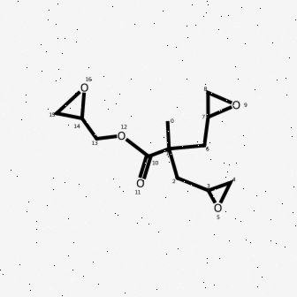 CC(CC1CO1)(CC1CO1)C(=O)OCC1CO1